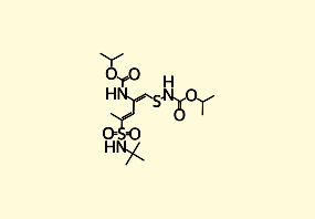 C/C(=C\C(=C/SNC(=O)OC(C)C)NC(=O)OC(C)C)S(=O)(=O)NC(C)(C)C